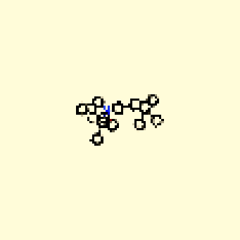 CC1(c2ccccc2)c2ccccc2-c2cccc(N(c3ccc(-c4ccc5c(c4)c(-c4ccccc4)c(-c4ccccc4)c4ccccc45)cc3)c3ccc(-c4ccccc4)c4ccccc34)c21